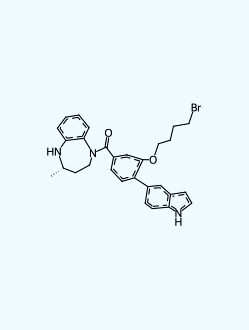 C[C@H]1CCN(C(=O)c2ccc(-c3ccc4[nH]ccc4c3)c(OCCCCBr)c2)c2ccccc2N1